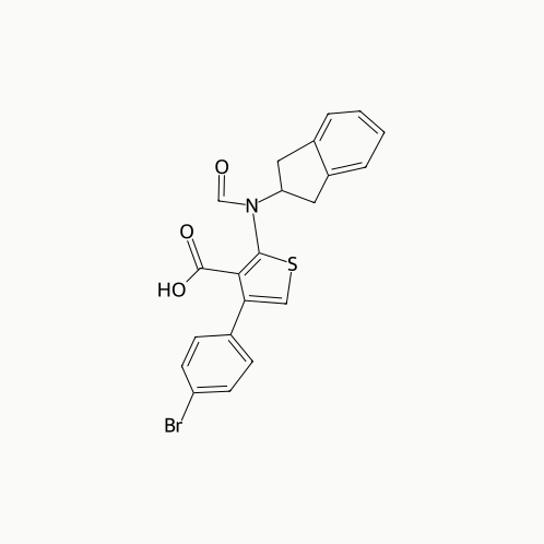 O=CN(c1scc(-c2ccc(Br)cc2)c1C(=O)O)C1Cc2ccccc2C1